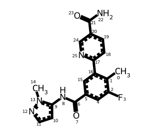 Cc1c(F)cc(C(=O)Nc2ccnn2C)cc1-c1ccc(C(N)=O)cn1